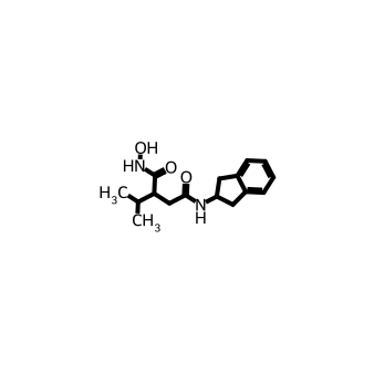 CC(C)C(CC(=O)NC1Cc2ccccc2C1)C(=O)NO